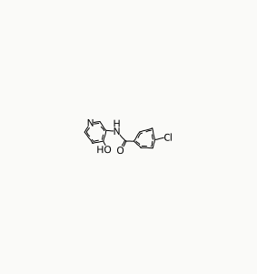 O=C(Nc1cnccc1O)c1ccc(Cl)cc1